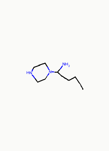 CCCC(N)N1CCNCC1